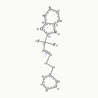 FC(F)(/C=C/CCc1ccccc1)c1nc2ccccc2o1